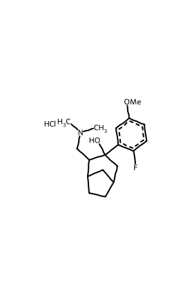 COc1ccc(F)c(C2(O)CC3CCC(C3)C2CN(C)C)c1.Cl